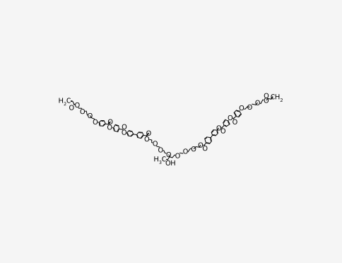 C=CC(=O)OCCOCCOCCOc1ccc(C(=O)Oc2ccc(C(=O)Oc3ccc(-c4ccc(C(=O)OCCOCCOCCOCCC(OCCOCCOCCOC(=O)c5ccc(-c6ccc(OC(=O)c7ccc(OC(=O)c8ccc(OCCOCCOCCOC(=O)C=C)cc8)cc7)cc6)cc5)C(C)O)cc4)cc3)cc2)cc1